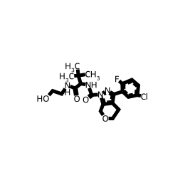 CC(C)(C)C(NC(=O)n1nc(-c2cc(Cl)ccc2F)c2c1COCC2)C(=O)NCCO